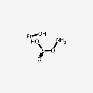 CCO.NOS(=O)O